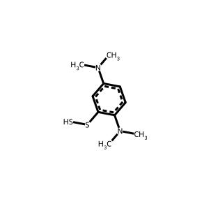 CN(C)c1ccc(N(C)C)c(SS)c1